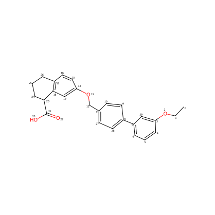 CCOc1cccc(-c2ccc(COc3ccc4c(c3)C(C(=O)O)CCC4)cc2)c1